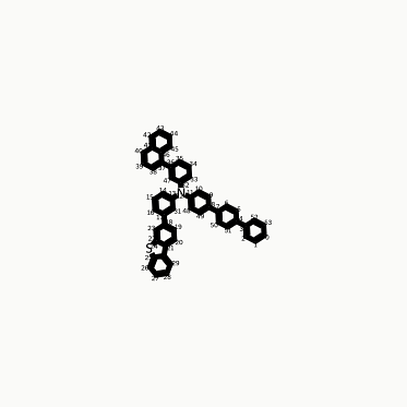 c1ccc(-c2ccc(-c3ccc(N(c4cccc(-c5ccc6c(c5)sc5ccccc56)c4)c4cccc(-c5cccc6ccccc56)c4)cc3)cc2)cc1